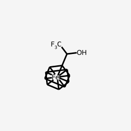 OC(C(F)(F)F)[C]12[CH]3[CH]4[CH]5[CH]1[Fe]45321678[CH]2[CH]1[CH]6[CH]7[CH]28